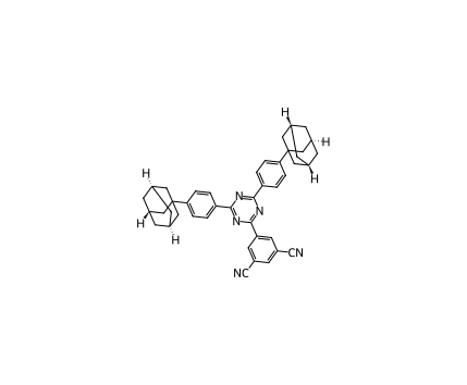 N#Cc1cc(C#N)cc(-c2nc(-c3ccc(C45C[C@H]6C[C@@H](C4)C[C@@H](C5)C6)cc3)nc(-c3ccc(C45C[C@H]6C[C@@H](C4)C[C@@H](C5)C6)cc3)n2)c1